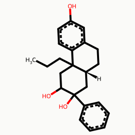 CCCC12CC(O)C(O)(c3ccccc3)C[C@H]1CCc1cc(O)ccc12